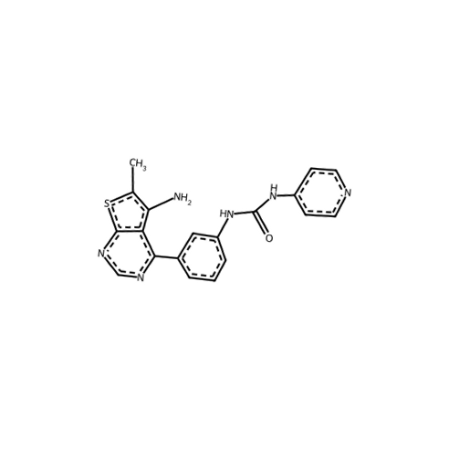 Cc1sc2ncnc(-c3cccc(NC(=O)Nc4ccncc4)c3)c2c1N